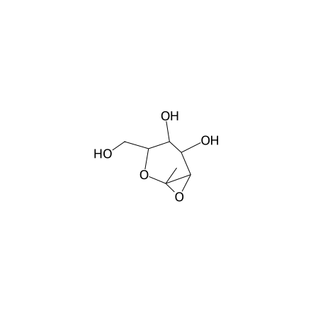 CC12OC(CO)C(O)C(O)C1O2